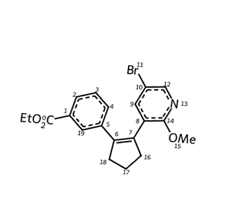 CCOC(=O)c1cccc(C2=C(c3cc(Br)cnc3OC)CCC2)c1